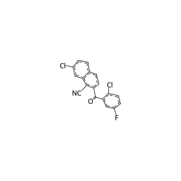 N#Cc1c(C(=O)c2cc(F)ccc2Cl)ccc2ccc(Cl)cc12